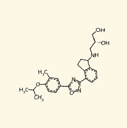 Cc1cc(-c2nc(-c3cccc4c3CCC4NC[C@@H](O)CO)no2)ccc1OC(C)C